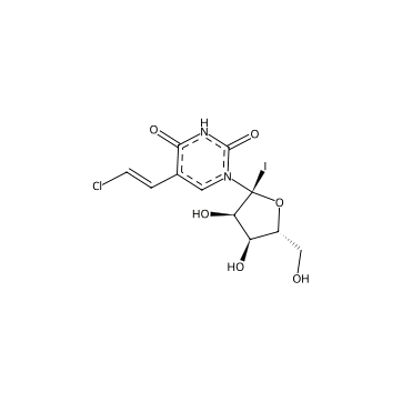 O=c1[nH]c(=O)n([C@]2(I)O[C@H](CO)[C@@H](O)[C@H]2O)cc1/C=C/Cl